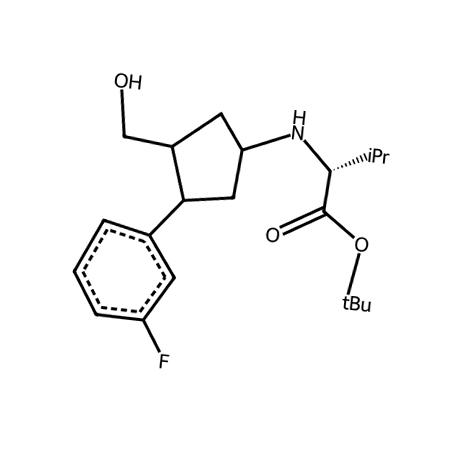 CC(C)[C@@H](NC1CC(CO)C(c2cccc(F)c2)C1)C(=O)OC(C)(C)C